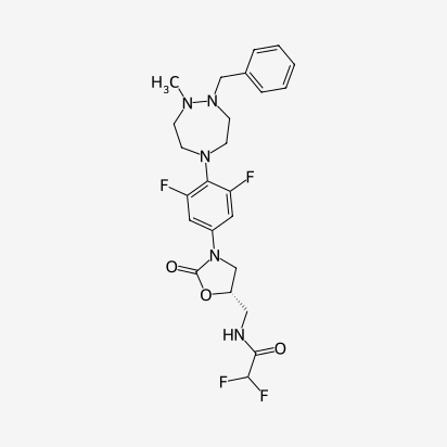 CN1CCN(c2c(F)cc(N3C[C@H](CNC(=O)C(F)F)OC3=O)cc2F)CCN1Cc1ccccc1